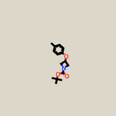 Cc1ccc(OC2CN(C(=O)OC(C)(C)C)C2)cc1